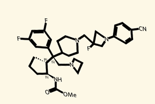 COC(=O)N[C@H]1CCC[C@@H]1[C@](CN1CCC1)(c1cc(F)cc(F)c1)C1CCN(CC2(F)CN(c3ccc(C#N)cc3)C2)CC1